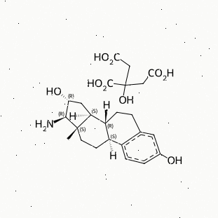 C[C@]12CC[C@@H]3c4ccc(O)cc4CC[C@H]3[C@@H]1C[C@@H](O)[C@@H]2N.O=C(O)CC(O)(CC(=O)O)C(=O)O